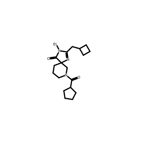 CCN1C(=O)C2(CCCN(C(=O)C3CCCC3)C2)N=C1CC1CCC1